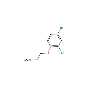 COCCOc1ccc(Br)cc1Cl